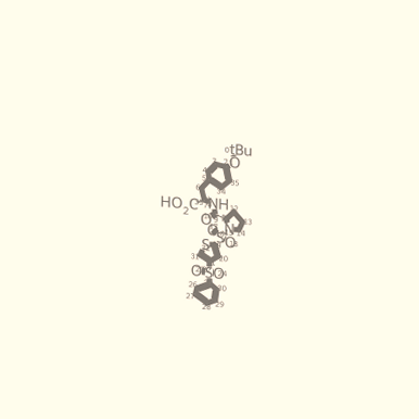 CC(C)(C)Oc1ccc(C[C@H](NC(=O)[C@@H]2CCCN2S(=O)(=O)c2cc(S(=O)(=O)c3ccccc3)cs2)C(=O)O)cc1